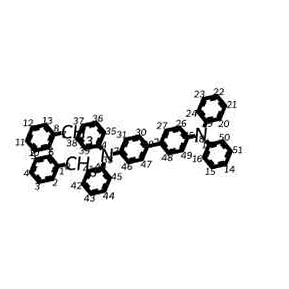 Cc1ccccc1.Cc1ccccc1.c1ccc(N(c2ccccc2)c2ccc(-c3ccc(N(c4ccccc4)c4ccccc4)cc3)cc2)cc1